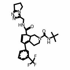 CC(C)(C)NC(=O)N1CCC2=C(c3cccc(C(F)(F)F)c3)C=CC(C(=O)NCc3nnc4n3CCC4)C2C1